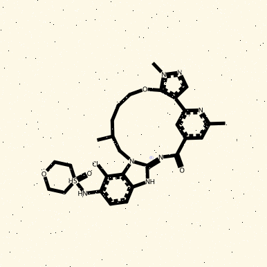 Cc1cc2cc(n1)-c1cnn(C)c1OCCCC(C)CN1/C(=N/C2=O)Nc2ccc(N[SH]3(=O)CCOCC3)c(Cl)c21